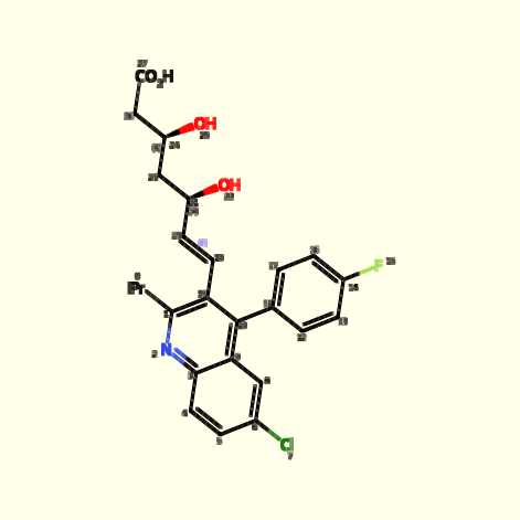 CC(C)c1nc2ccc(Cl)cc2c(-c2ccc(F)cc2)c1/C=C/[C@H](O)C[C@H](O)CC(=O)O